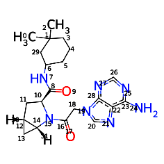 CC1(C)CCCC(NC(=O)[C@@H]2C[C@H]3C[C@H]3N2C(=O)Cn2cnc3c(N)ncnc32)C1